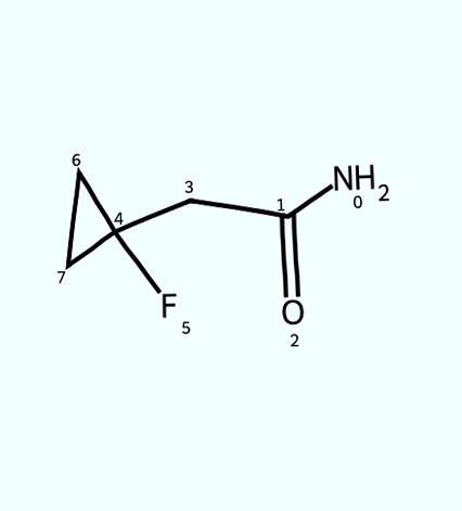 NC(=O)CC1(F)CC1